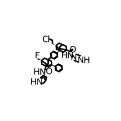 O=C(NC1CC2CNC1C2)C12CC3(c4ccc([C@]56CC7CC(C(=O)NN8CCNCC8)(C[C@](CCCl)(C7)C5)C6)cc4)C[C@@](CF)(C1)C[C@@](c1ccccc1)(C2)C3